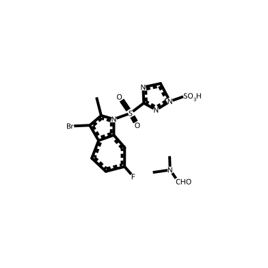 CN(C)C=O.Cc1c(Br)c2ccc(F)cc2n1S(=O)(=O)c1ncn(S(=O)(=O)O)n1